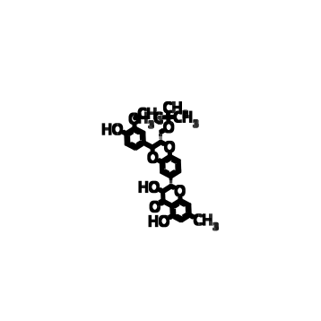 COc1cc(C2Oc3cc([C@@H]4Oc5cc(C)cc(O)c5C(=O)C4O)ccc3O[C@H]2COC(C)(C)C)ccc1O